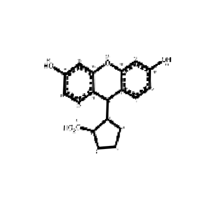 O=C(O)C1CCCC1C1c2ccc(O)cc2Oc2cc(O)ccc21